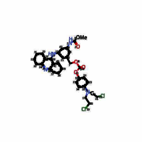 COC(=O)Nc1cc(COC(=O)Oc2ccc(N(CCCl)CCCl)cc2)cc(Nc2c3ccccc3nc3ccccc23)c1